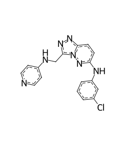 Clc1cccc(Nc2ccc3nnc(CNc4ccncc4)n3n2)c1